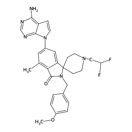 COc1ccc(CN2C(=O)c3c(C)cc(-n4ccc5c(N)ncnc54)cc3C23CCN(CC(F)F)CC3)cc1